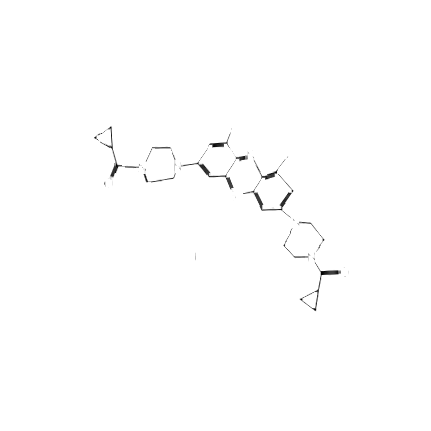 Cc1cc(N2CCN(C(=O)C3CC3)CC2)cc2[s+]c3cc(N4CCN(C(=O)C5CC5)CC4)cc(C)c3nc12.[I-]